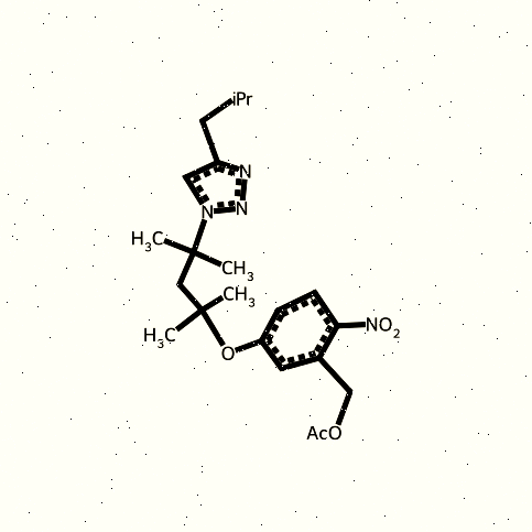 CC(=O)OCc1cc(OC(C)(C)CC(C)(C)n2cc(CC(C)C)nn2)ccc1[N+](=O)[O-]